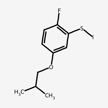 CC(C)COc1ccc(F)c(SI)c1